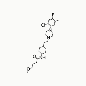 COCCCC(=O)NC1CCC(CCN2CCN(c3cc(C)c(F)cc3Cl)CC2)CC1